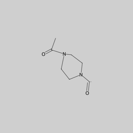 CC(=O)N1CCN([C]=O)CC1